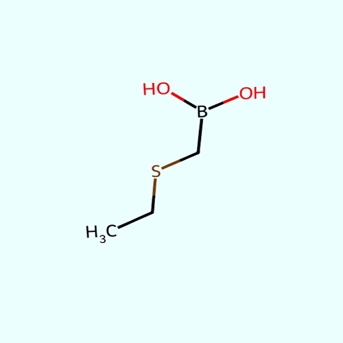 CCSCB(O)O